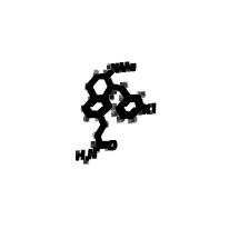 CNC1CCc2ccc(CCC(N)=O)cc2C1Cc1cccc(Cl)c1